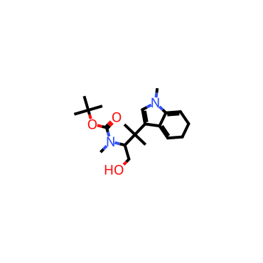 CN(C(=O)OC(C)(C)C)C(CO)C(C)(C)c1cn(C)c2c1=CCCC=2